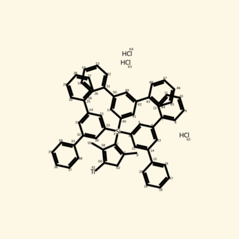 CC1=C([Si](c2cc(-c3ccccc3)cc(-c3ccccc3)c2)(c2cc(-c3ccccc3)cc(-c3ccccc3)c2)c2cc(-c3ccccc3)cc(-c3ccccc3)c2)C(C)=[C]([Ti])C1.Cl.Cl.Cl